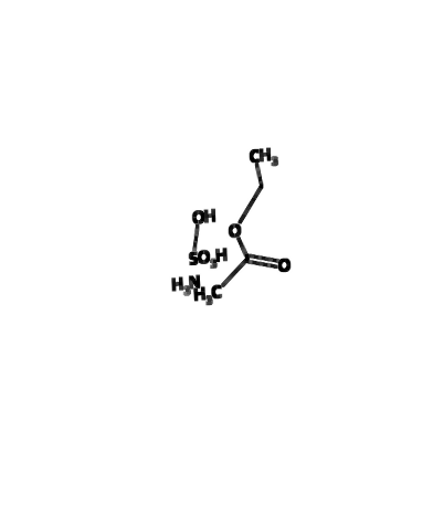 CCOC(C)=O.N.O=S(=O)(O)O